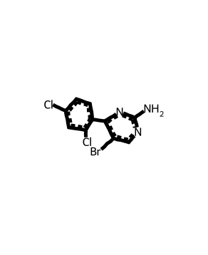 Nc1ncc(Br)c(-c2ccc(Cl)cc2Cl)n1